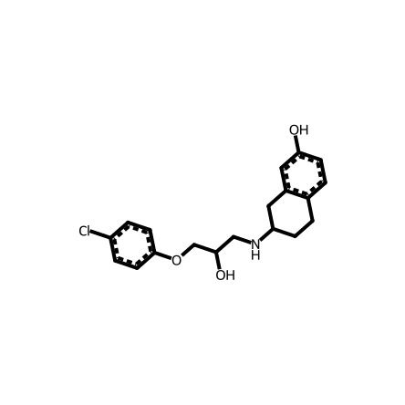 Oc1ccc2c(c1)CC(NCC(O)COc1ccc(Cl)cc1)CC2